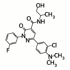 CC(CO)NC(=O)c1cc(-c2ccc(N(C)C)c(Cl)c2)nn(-c2cccc(F)c2)c1=O